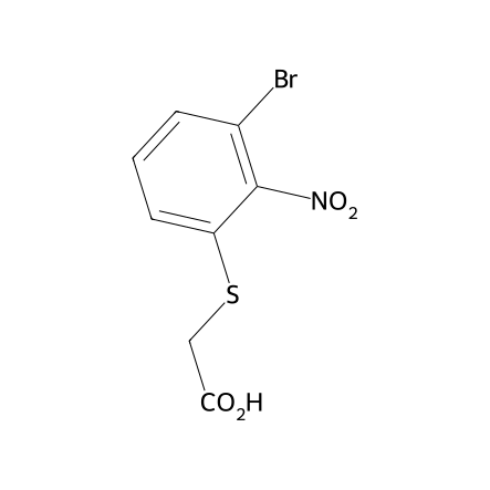 O=C(O)CSc1cccc(Br)c1[N+](=O)[O-]